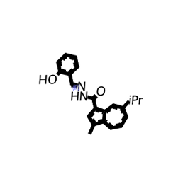 Cc1cc(C(=O)N/N=C/c2ccccc2O)c2cc(C(C)C)cccc1-2